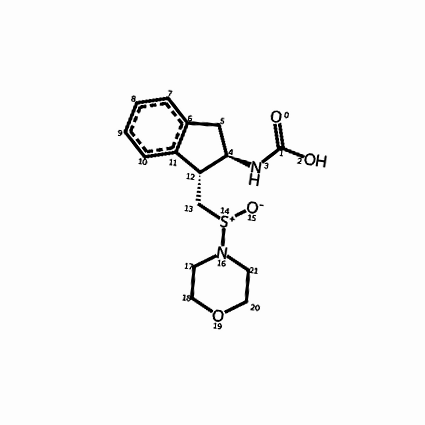 O=C(O)N[C@@H]1Cc2ccccc2[C@H]1C[S+]([O-])N1CCOCC1